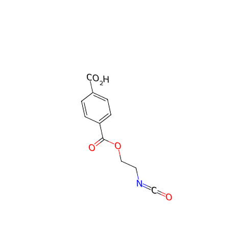 O=C=NCCOC(=O)c1ccc(C(=O)O)cc1